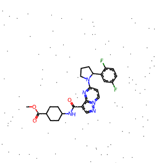 COC(=O)C1CCC(NC(=O)c2cnn3ccc(N4CCCC4c4cc(F)ccc4F)nc23)CC1